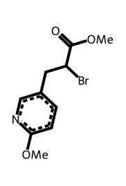 COC(=O)C(Br)Cc1ccc(OC)nc1